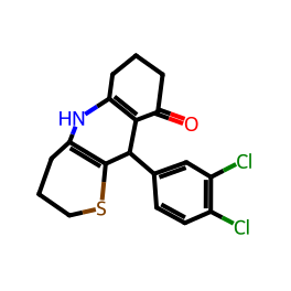 O=C1CCCC2=C1C(c1ccc(Cl)c(Cl)c1)C1=C(CCCS1)N2